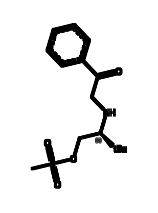 CC(C)(C)[C@@H](COS(C)(=O)=O)NCC(=O)c1ccccc1